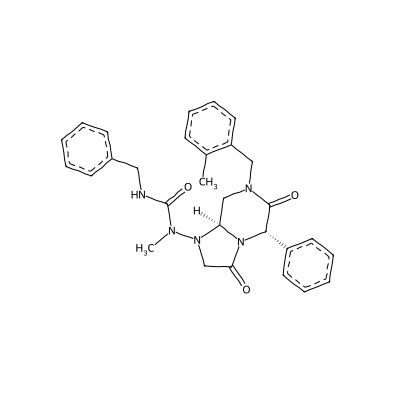 Cc1ccccc1CN1C[C@H]2N(C(=O)CN2N(C)C(=O)NCc2ccccc2)[C@@H](c2ccccc2)C1=O